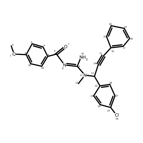 COc1ccc(C(=O)/N=C(\N)N(C)C(C#Cc2ccccc2)c2ccc(Cl)cc2)cc1